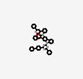 c1ccc(-c2ccc(-c3nc(-c4ccccc4)nc(-n4c5ccccc5c5cc6c(cc54)c4ccccc4n6-c4ccccc4-c4cc(-c5ccccc5)nc(-c5ccccc5)c4)n3)cc2)cc1